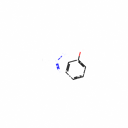 N=NN.Oc1ccccc1.[SeH2]